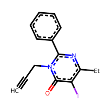 C#CCn1c(-c2ccccc2)nc(CC)c(I)c1=O